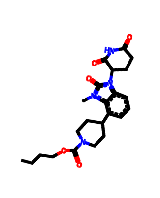 CCCCOC(=O)N1CCC(c2cccc3c2n(C)c(=O)n3C2CCC(=O)NC2=O)CC1